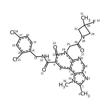 Cc1nc2cnc3c(cc(C(=O)NCc4ccc(Cl)cc4Cl)c(=O)n3CC(=O)N3CC(C)(F)C3)c2n1C